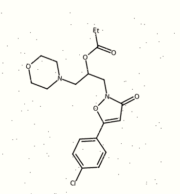 CCC(=O)OC(CN1CCOCC1)Cn1oc(-c2ccc(Cl)cc2)cc1=O